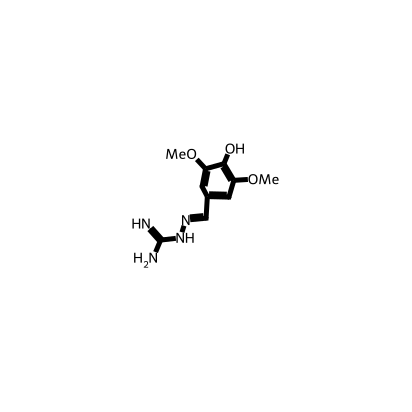 COc1cc(/C=N/NC(=N)N)cc(OC)c1O